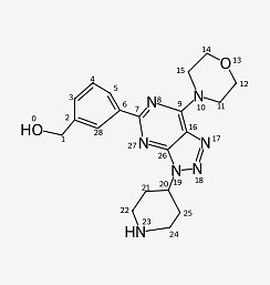 OCc1cccc(-c2nc(N3CCOCC3)c3nnn(C4CCNCC4)c3n2)c1